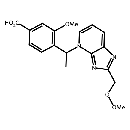 COOCc1nc2cccn(C(C)c3ccc(C(=O)O)cc3OC)c-2n1